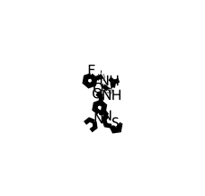 CCC(CC)n1c(Cc2cccs2)nc2cc(C(=O)N[C@@H](CC(C)C)C(=O)N[C@@H](C)c3ccccc3F)ccc21